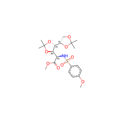 COC(=O)[C@H](NS(=O)(=O)c1ccc(OC)cc1)[C@H]1OC(C)(C)O[C@@H]1[C@@H]1COC(C)(C)O1